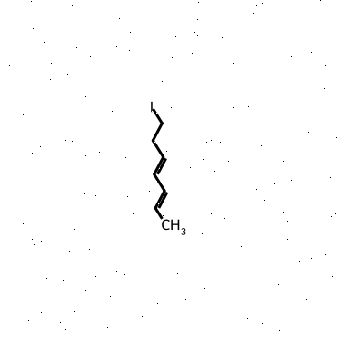 C/C=C/C=C/CCI